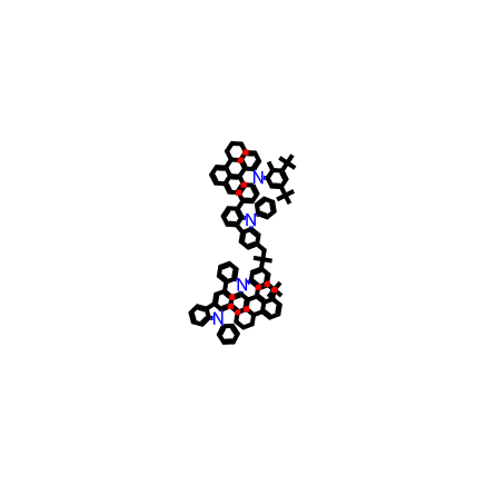 CC1C(C(C)(C)C)=CC(C(C)(C)C)=CC1N(c1ccc(-c2cccc3c4ccc(CC(C)(C)c5cc(N(c6ccccc6-c6ccc7c(c6)c6ccccc6n7-c6ccccc6)c6ccccc6-c6cccc7cccc(C8CCCCC8)c67)cc(C(C)(C)C)c5)cc4n(-c4ccccc4)c23)cc1)c1ccccc1-c1cccc2cccc(C3CCCCC3)c12